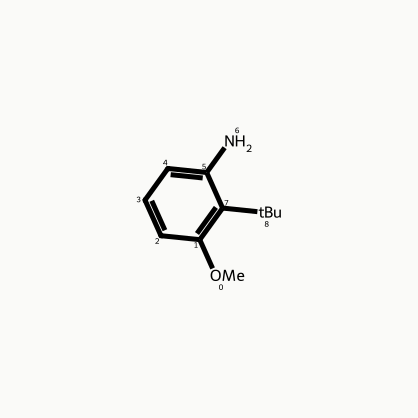 COc1cccc(N)c1C(C)(C)C